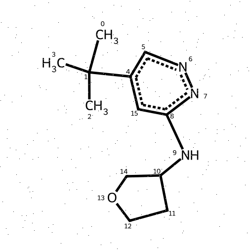 CC(C)(C)c1cnnc(NC2CCOC2)c1